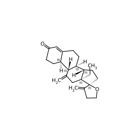 C=C1C[C@@]2(CC)[C@@H](CC[C@@]23OCCC3=C)[C@@H]2CCC3=CC(=O)CC[C@@H]3[C@@H]12